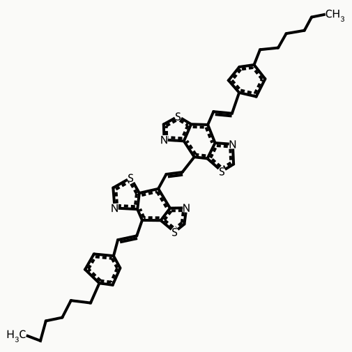 CCCCCCc1ccc(/C=C/c2c3ncsc3c(/C=C/c3c4ncsc4c(/C=C/c4ccc(CCCCCC)cc4)c4ncsc34)c3ncsc23)cc1